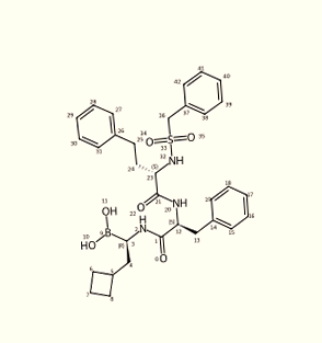 O=C(N[C@@H](CC1CCC1)B(O)O)[C@H](Cc1ccccc1)NC(=O)[C@H](CCc1ccccc1)NS(=O)(=O)Cc1ccccc1